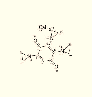 O=C1C=C(N2CC2)C(=O)C(N2CC2)=C1N1CC1.[CaH2]